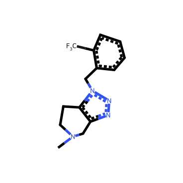 CN1CCc2c(nnn2Cc2ccccc2C(F)(F)F)C1